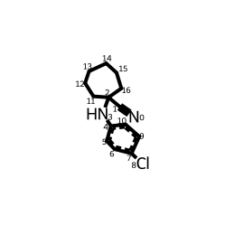 N#CC1(Nc2ccc(Cl)cc2)CCCCCC1